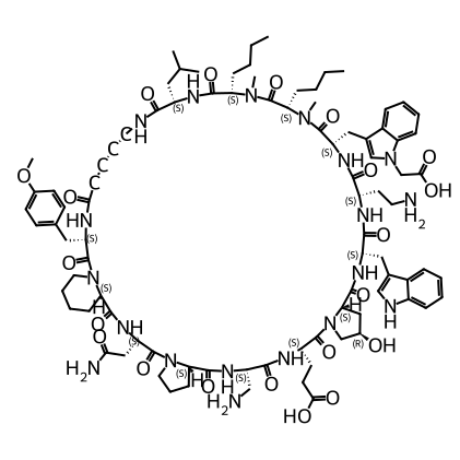 CCCC[C@H]1C(=O)N(C)[C@@H](CCCC)C(=O)N[C@@H](CC(C)C)C(=O)NCCCCC(=O)N[C@@H](Cc2ccc(OC)cc2)C(=O)N2CCCC[C@H]2C(=O)N[C@@H](CC(N)=O)C(=O)N2CCC[C@H]2C(=O)N[C@@H](CN)C(=O)N[C@@H](CCC(=O)O)C(=O)N2C[C@H](O)C[C@H]2C(=O)N[C@@H](Cc2c[nH]c3ccccc23)C(=O)N[C@@H](CCN)C(=O)N[C@@H](Cc2cn(CC(=O)O)c3ccccc23)C(=O)N1C